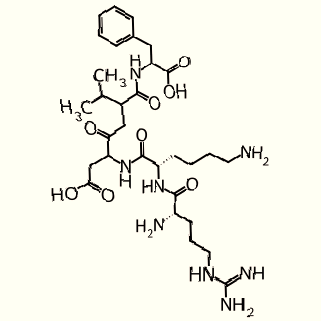 CC(C)C(CC(=O)C(CC(=O)O)NC(=O)[C@H](CCCCN)NC(=O)[C@@H](N)CCCNC(=N)N)C(=O)NC(Cc1ccccc1)C(=O)O